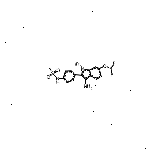 CC(C)n1c(-c2ccc(NS(C)(=O)=O)cc2)c(N)c2ccc(OC(F)F)cc21